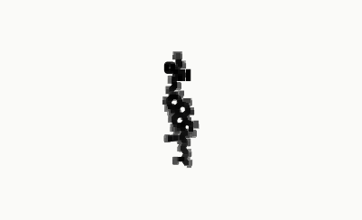 C#C[C@H](CCCC(C)C)[C@H]1CCC2C3CCC4C[C@@H](CCCNC(=O)C=C)CC[C@]4(C)C3CC[C@@]21C